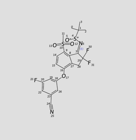 CC(C)(C)[S+]([O-])/N=C1\c2c(S(C)(=O)=O)ccc(Oc3cc(F)cc(C#N)c3)c2CC1(F)F